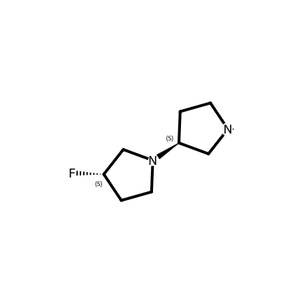 F[C@H]1CCN([C@H]2CC[N]C2)C1